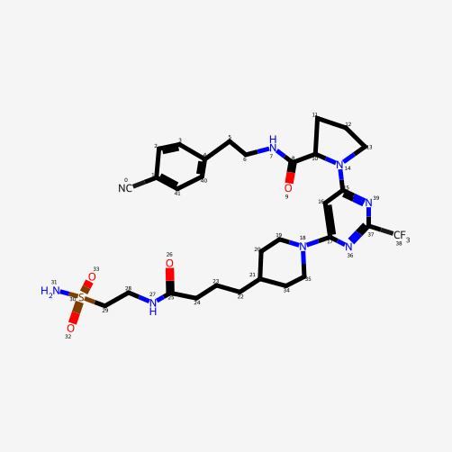 N#Cc1ccc(CCNC(=O)C2CCCN2c2cc(N3CCC(CCCC(=O)NCCS(N)(=O)=O)CC3)nc(C(F)(F)F)n2)cc1